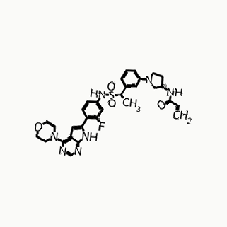 C=CC(=O)N[C@@H]1CCN(c2cccc(C(C)S(=O)(=O)Nc3ccc(-c4cc5c(N6CCOCC6)ncnc5[nH]4)c(F)c3)c2)C1